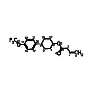 C=CCC(=O)O[C@H]1CC[C@H](c2ccc(OC(F)(F)F)cc2)CC1